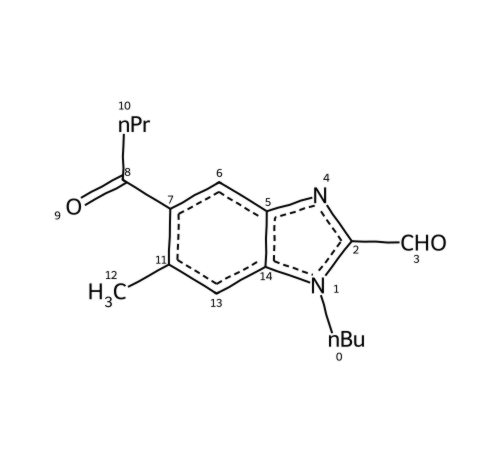 CCCCn1c(C=O)nc2cc(C(=O)CCC)c(C)cc21